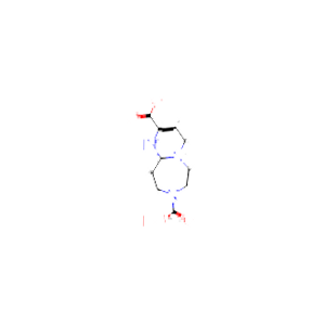 O=C(O)C1=CCN2CCN(C(=O)O)CCC2N1